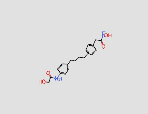 O=C(Cc1ccc(CCCCc2ccc(NC(=O)CO)cc2)cc1)NO